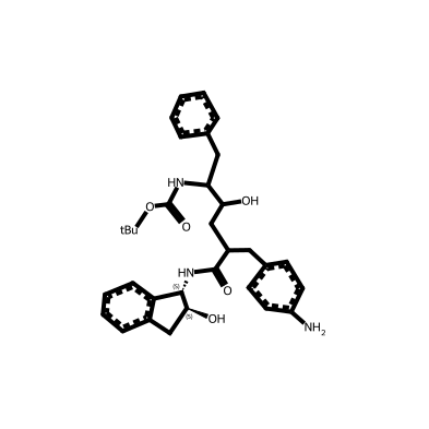 CC(C)(C)OC(=O)NC(Cc1ccccc1)C(O)CC(Cc1ccc(N)cc1)C(=O)N[C@H]1c2ccccc2C[C@@H]1O